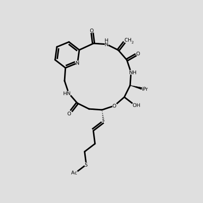 C=C1NC(=O)c2cccc(n2)CNC(=O)C[C@@H](/C=C/CCSC(C)=O)OC(O)[C@H](C(C)C)NC1=O